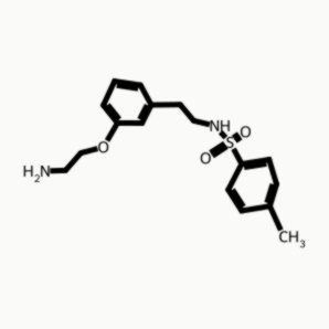 Cc1ccc(S(=O)(=O)NCCc2cccc(OCCN)c2)cc1